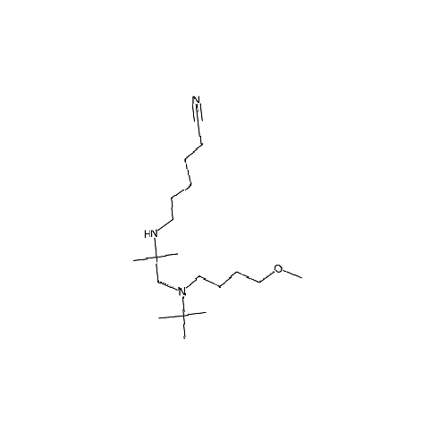 COCCCCN(CC(C)(C)NCCCCCC#N)C(C)(C)C